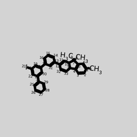 Cc1ccc2c(c1)C(C)(C)C1C=C(c3cccc(-c4cc(I)cc(-c5ccccc5)c4)c3)C=CC21